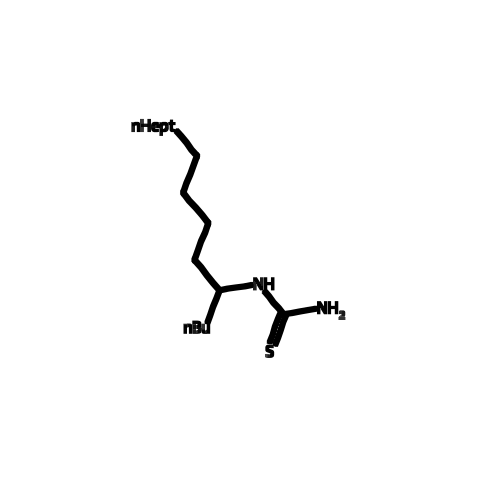 CCCCCCCCCCCC(CCCC)NC(N)=S